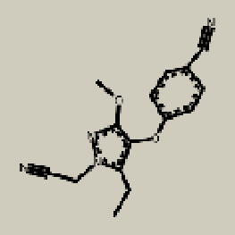 CCc1c(Oc2ccc(C#N)cc2)c(OC)nn1CC#N